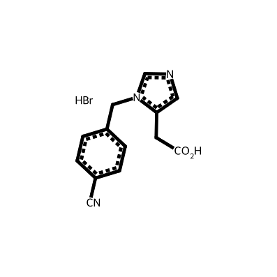 Br.N#Cc1ccc(Cn2cncc2CC(=O)O)cc1